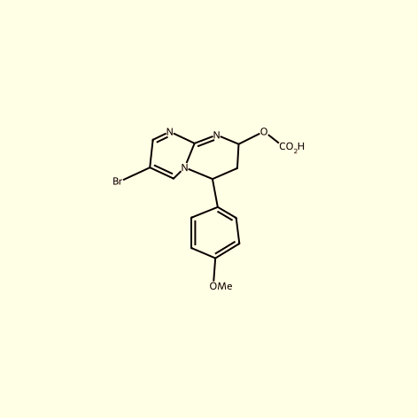 COc1ccc(C2CC(OC(=O)O)N=C3N=CC(Br)=CN32)cc1